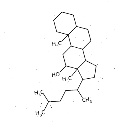 CC(C)CCC(C)C1CCC2C3CCC4CCCCC4(C)C3CC(O)C12C